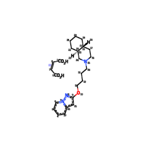 O=C(O)/C=C\C(=O)O.c1ccn2nc(OCCCCN3CC[C@H]4CCCC[C@@H]4C3)cc2c1